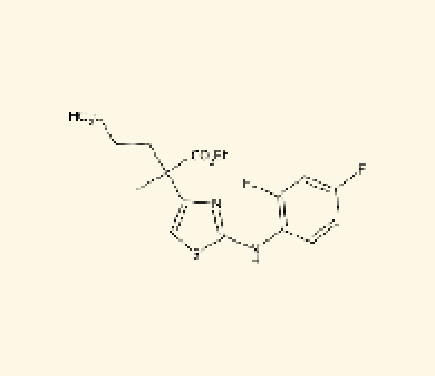 CCOC(=O)C(C)(CCC(=O)O)c1csc(Nc2ccc(F)cc2F)n1